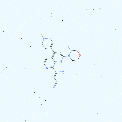 C[C@@H]1COCCN1c1cc(C2=CCN(C)CC2)c2ccnc(/C(N)=C/C=N)c2n1